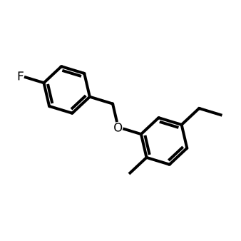 CCc1ccc(C)c(OCc2ccc(F)cc2)c1